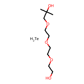 CC(C)(O)COCCOCCOCCO.[TeH2]